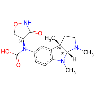 CN1CC[C@@]2(C)c3cc(N(C(=O)O)[C@H]4CONC4=O)ccc3N(C)[C@@H]12